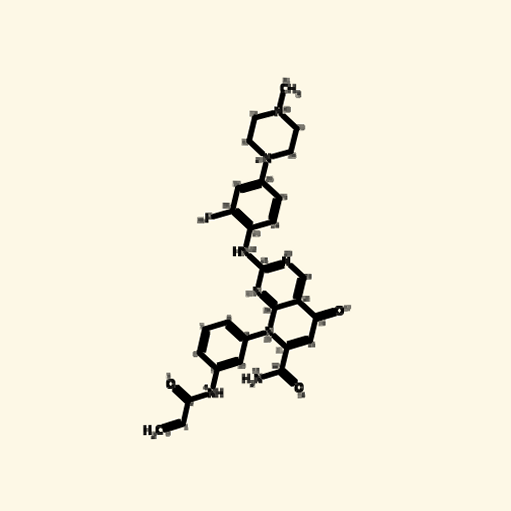 C=CC(=O)Nc1cccc(-n2c(C(N)=O)cc(=O)c3cnc(Nc4ccc(N5CCN(C)CC5)cc4F)nc32)c1